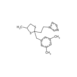 Cc1cc(C)cc(CC2(CCn3ccnc3)SCC(C)S2)c1